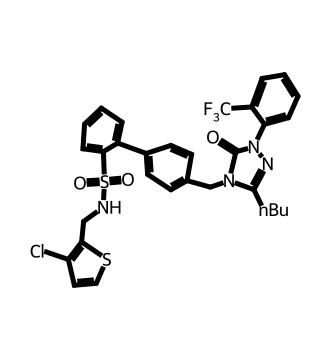 CCCCc1nn(-c2ccccc2C(F)(F)F)c(=O)n1Cc1ccc(-c2ccccc2S(=O)(=O)NCc2sccc2Cl)cc1